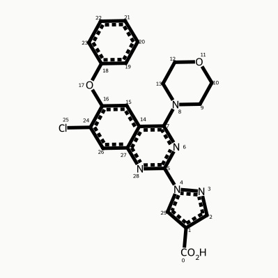 O=C(O)c1cnn(-c2nc(N3CCOCC3)c3cc(Oc4ccccc4)c(Cl)cc3n2)c1